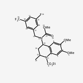 CCOC(=O)N1c2cc(OC)c(OC)cc2C(N(Cc2cc(F)cc(C(F)(F)F)c2)C(=O)OC)CC1C